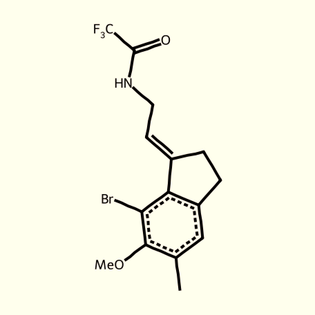 COc1c(C)cc2c(c1Br)/C(=C/CNC(=O)C(F)(F)F)CC2